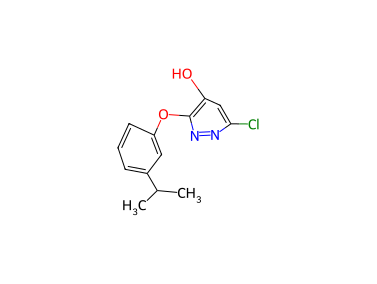 CC(C)c1cccc(Oc2nnc(Cl)cc2O)c1